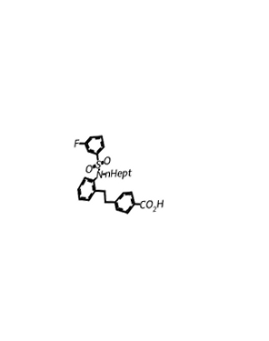 CCCCCCCN(c1ccccc1CCc1ccc(C(=O)O)cc1)S(=O)(=O)c1cccc(F)c1